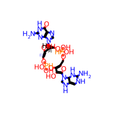 Nc1nc2c(ncn2C2=C3O[PH](O)(O)OCc4oc(N5CNC6=CNC(N)NC65)c(O)c4O[PH](O)(O)O/C=C(/O2)[C@H]3O)c(=O)[nH]1